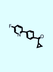 O=C(c1ccc(-c2ccc(F)cn2)cc1)C1CC1